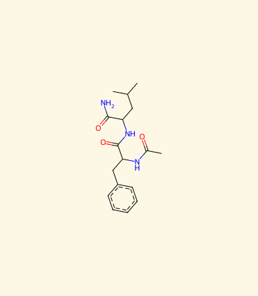 CC(=O)NC(Cc1ccccc1)C(=O)NC(CC(C)C)C(N)=O